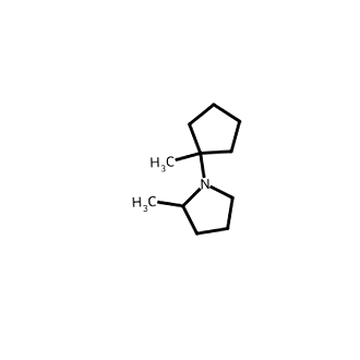 CC1CCCN1C1(C)CCCC1